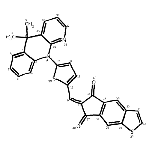 CC1(C)c2ccccc2N(c2ccc(/C=C3\C(=O)c4cc5ccsc5cc4C3=O)s2)c2ncccc21